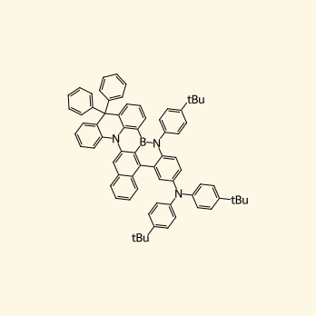 CC(C)(C)c1ccc(N2B3c4cccc5c4N(c4ccccc4C5(c4ccccc4)c4ccccc4)c4cc5ccccc5c(c43)-c3cc(N(c4ccc(C(C)(C)C)cc4)c4ccc(C(C)(C)C)cc4)ccc32)cc1